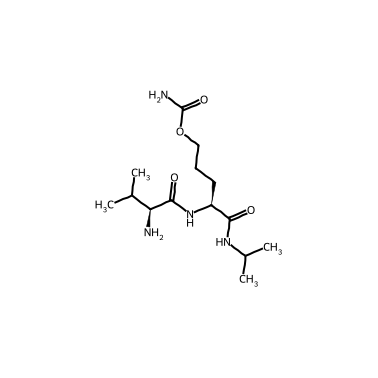 CC(C)NC(=O)[C@H](CCCOC(N)=O)NC(=O)[C@@H](N)C(C)C